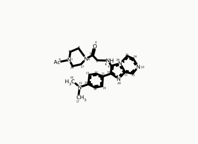 CC(=O)N1CCN(C(=O)CNc2c(-c3ccc(N(C)C)cc3)nc3cnccn23)CC1